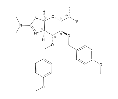 COc1ccc(CO[C@H]2[C@H](OCc3ccc(OC)cc3)[C@H]3N=C(N(C)C)S[C@H]3O[C@@H]2[C@H](C)F)cc1